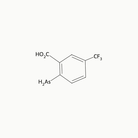 O=C(O)c1cc(C(F)(F)F)ccc1[AsH2]